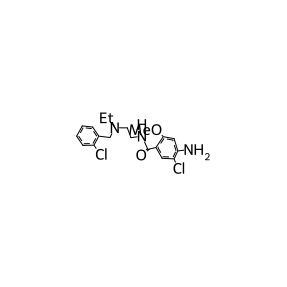 CCN(CCNC(=O)c1cc(Cl)c(N)cc1OC)Cc1ccccc1Cl